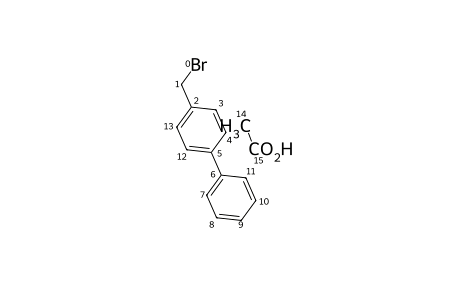 BrCc1ccc(-c2ccccc2)cc1.CC(=O)O